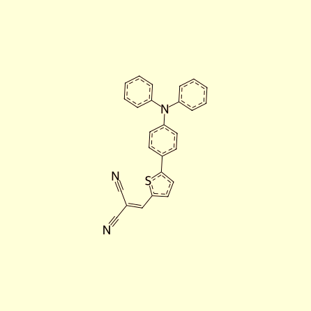 N#CC(C#N)=Cc1ccc(-c2ccc(N(c3ccccc3)c3ccccc3)cc2)s1